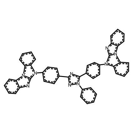 c1ccc(-n2nc(-c3ccc(-n4c5ccccc5n5c6ccccc6nc45)cc3)nc2-c2ccc(-n3c4ccccc4n4c5ccccc5nc34)cc2)cc1